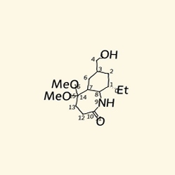 CC[C@H]1CC(CO)CC2C1NC(=O)CCC2(OC)OC